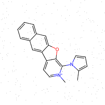 Cc1cccn1-c1c2oc3cc4ccccc4cc3c2cc[n+]1C